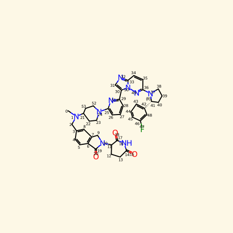 CN(Cc1ccc2c(c1)CN(C1CCC(=O)NC1=O)C2=O)C1CCN(c2cccc(-c3cnc4ccc(N5CCC[C@@H]5c5cccc(F)c5)nn34)n2)CC1